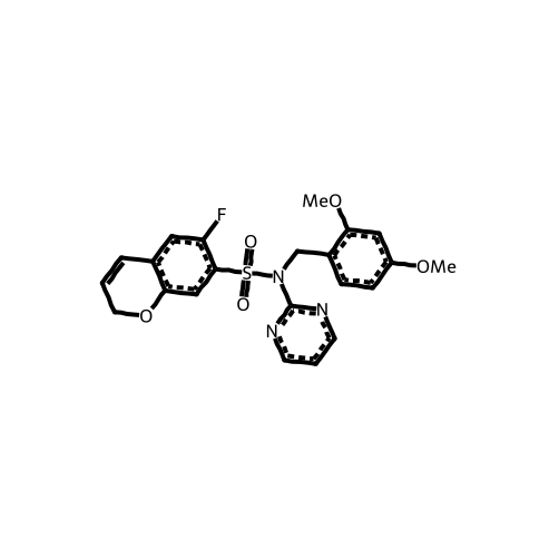 COc1ccc(CN(c2ncccn2)S(=O)(=O)c2cc3c(cc2F)C=CCO3)c(OC)c1